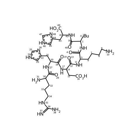 CCC(C)C(NC(=O)C(CCCCN)NC(=O)C(CC(=O)O)NC(=O)C(Cc1c[nH]cn1)NC(=O)C(N)CCCNC(=N)N)C(=O)NC(Cc1c[nH]cn1)C(=O)O